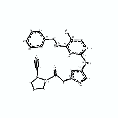 N#C[C@@H]1CCCN1C(=O)Cn1cc(Nc2ncc(Cl)c(NCc3ccccc3)n2)cn1